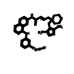 Cn1cnc([N+](=O)[O-])c1C[N+]1(C/C=C/C(=O)Nc2ccc3ncnc(Nc4cccc(Br)c4)c3c2)CCOCC1.O=C[O-]